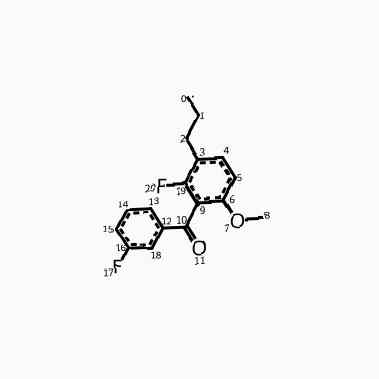 [CH2]CCc1ccc(OC)c(C(=O)c2cccc(F)c2)c1F